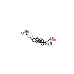 C[C@H](CCCC(C)(C)O)[C@]12CCC[C@@]13CC[C@H]1[C@@H](CC=C4C[C@@H](OC(=O)OCC[N+](C)(C)C)CC[C@@]41C)[C@@H]3CC2